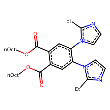 CCCCCCCCOC(=O)c1cc(-n2ccnc2CC)c(-n2ccnc2CC)cc1C(=O)OCCCCCCCC